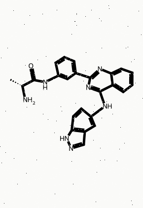 C[C@@H](N)C(=O)Nc1cccc(-c2nc(Nc3ccc4[nH]ncc4c3)c3ccccc3n2)c1